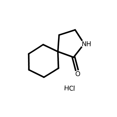 Cl.O=C1NCCC12CCCCC2